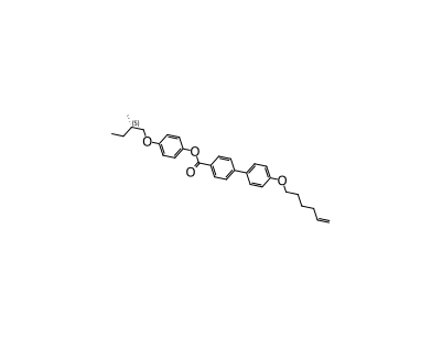 C=CCCCCOc1ccc(-c2ccc(C(=O)Oc3ccc(OC[C@@H](C)CC)cc3)cc2)cc1